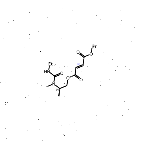 CCNC(=O)N(C)[C@H](C)COC(=O)/C=C/C(=O)OC(C)C